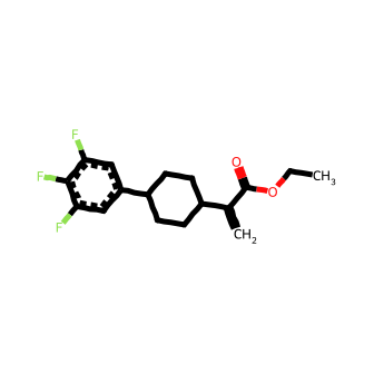 C=C(C(=O)OCC)C1CCC(c2cc(F)c(F)c(F)c2)CC1